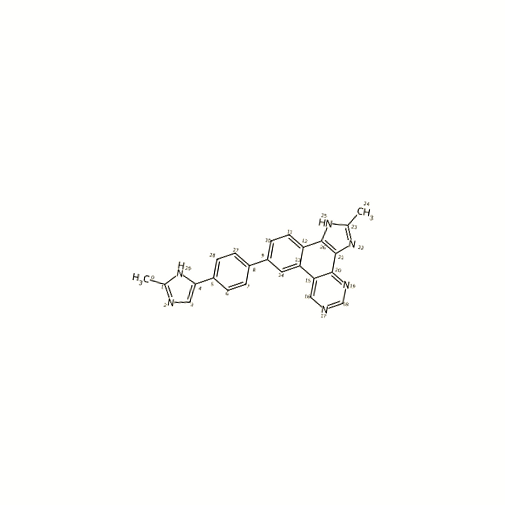 Cc1ncc(-c2ccc(-c3ccc4c(c3)c3cncnc3c3nc(C)[nH]c43)cc2)[nH]1